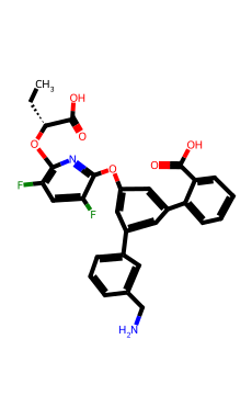 CC[C@@H](Oc1nc(Oc2cc(-c3cccc(CN)c3)cc(-c3ccccc3C(=O)O)c2)c(F)cc1F)C(=O)O